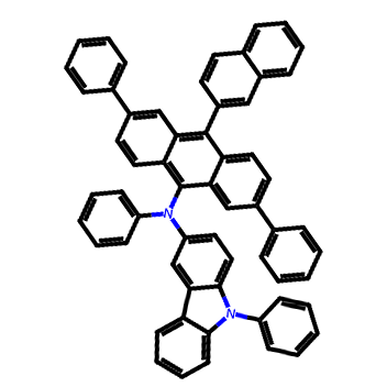 c1ccc(-c2ccc3c(N(c4ccccc4)c4ccc5c(c4)c4ccccc4n5-c4ccccc4)c4cc(-c5ccccc5)ccc4c(-c4ccc5ccccc5c4)c3c2)cc1